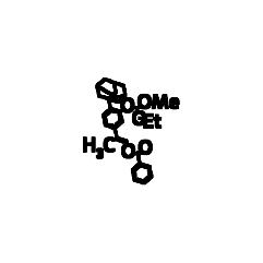 CCOC(OC)Oc1cc(C(C)=COC(=O)c2ccccc2)ccc1C12CC3CC(CC(C3)C1)C2